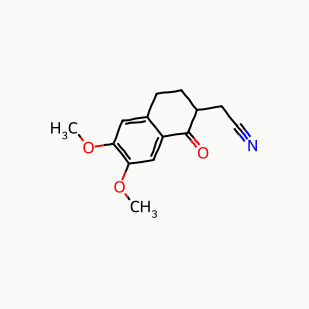 COc1cc2c(cc1OC)C(=O)C(CC#N)CC2